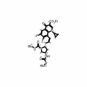 CCOC(=O)c1cn(C2CC2)c2c(/C=C\C[C@@H]3C[C@@H](NC(=O)OC(C)(C)C)CN3C(=O)OC(C)(C)C)c(F)c(F)cc2c1=O